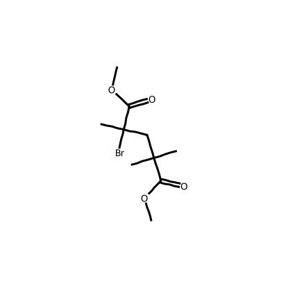 COC(=O)C(C)(C)CC(C)(Br)C(=O)OC